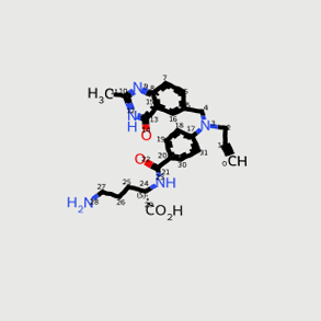 C#CCN(Cc1ccc2nc(C)[nH]c(=O)c2c1)c1ccc(C(=O)N[C@@H](CCCN)C(=O)O)cc1